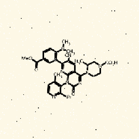 COC(=O)c1ccc(N(C)C)c(-c2nc3c(cc2C#N)c(N2CCN(C(=O)O)CC2C)nc(=O)n3-c2c(C)ccnc2C(C)C)c1